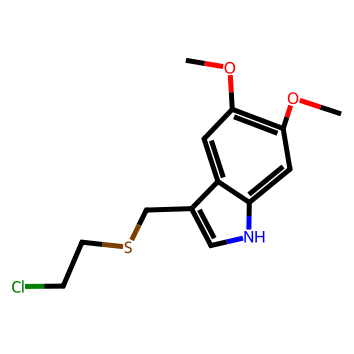 COc1cc2[nH]cc(CSCCCl)c2cc1OC